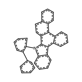 c1ccc(-c2ccccc2-n2c3ccccc3c3c4ccccc4c4c5ccccc5ccc4c32)cc1